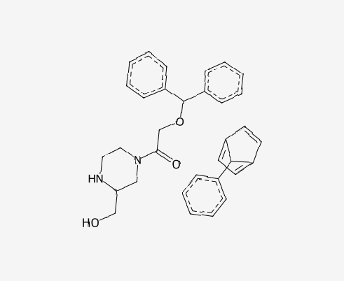 C1=CC2=CC=C1C2c1ccccc1.O=C(COC(c1ccccc1)c1ccccc1)N1CCNC(CO)C1